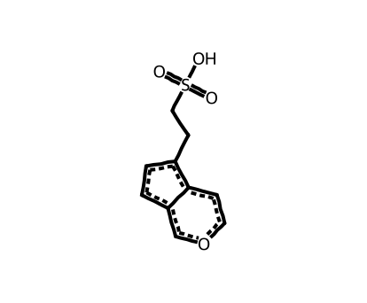 O=S(=O)(O)CCc1ccc2coccc1-2